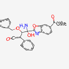 COC(=O)c1ccc2nc(C(N)(O)C(OCc3ccccc3)C(=C=O)c3ccccc3)oc2c1